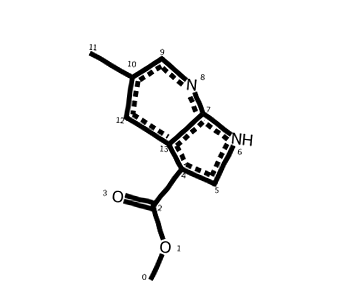 COC(=O)c1c[nH]c2ncc(C)cc12